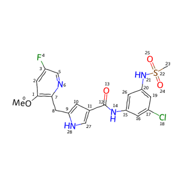 COc1cc(F)cnc1Cc1cc(C(=O)Nc2cc(Cl)cc(NS(C)(=O)=O)c2)c[nH]1